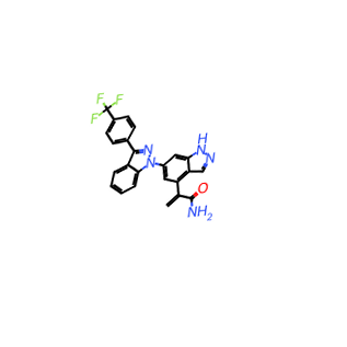 C=C(C(N)=O)c1cc(-n2nc(-c3ccc(C(F)(F)F)cc3)c3ccccc32)cc2[nH]ncc12